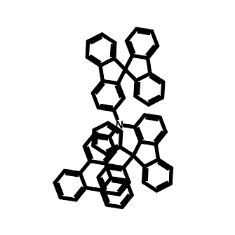 c1ccc(C2(c3ccccc3)c3ccccc3-c3cccc(N(c4ccc5c(c4)C4(c6ccccc6-c6ccccc64)c4ccccc4-5)c4ccc5c6ccccc6c6ccccc6c5c4)c32)cc1